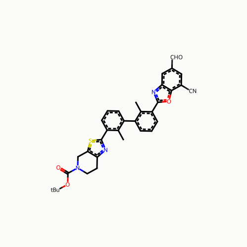 Cc1c(-c2nc3cc(C=O)cc(C#N)c3o2)cccc1-c1cccc(-c2nc3c(s2)CN(C(=O)OC(C)(C)C)CC3)c1C